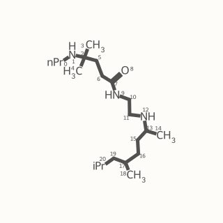 CCCNC(C)(C)CCC(=O)NCCNC(C)CCC(C)CC(C)C